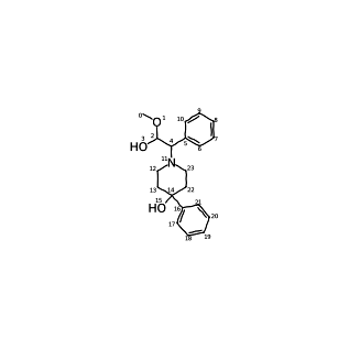 COC(O)C(c1ccccc1)N1CCC(O)(c2ccccc2)CC1